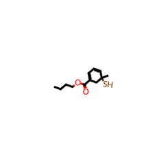 CCCCOC(=O)C1=CC=CC(C)(S)C1